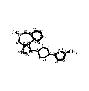 Cc1nc(C2CCC(c3nnc4n3-c3ccccc3CN(Cl)C4)CC2)cs1